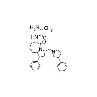 CC(N)C(=O)NC1CCCC2C(c3ccccc3)CC(CN3CCC(c4ccccc4)C3)N2C1=O